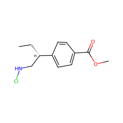 CC[C@@H](CNCl)c1ccc(C(=O)OC)cc1